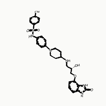 N#Cc1ccc(S(=O)(=O)Nc2ccc(N3CCC(NC[C@H](O)COc4cccc5[nH]c(=O)[nH]c45)CC3)cc2)cc1